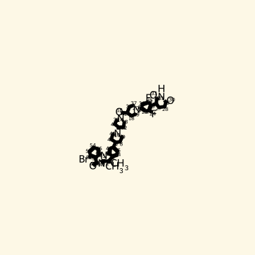 CC1(C)c2ccc(C3CCN(C4CCN(C(=O)C5CCN(c6cc(F)c(C7CCC(=O)NC7=O)c(F)c6)CC5)CC4)CC3)cc2-n2c1nc(=O)c1c(Br)cccc12